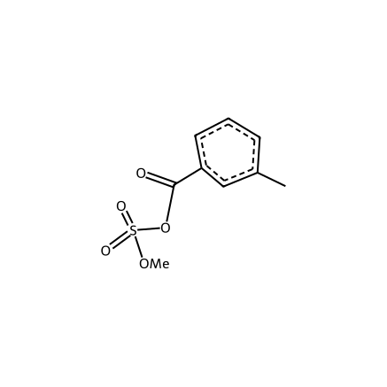 COS(=O)(=O)OC(=O)c1cccc(C)c1